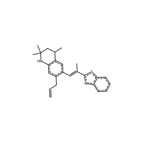 C=CCc1cc2c(cc1/C=C(\C)c1nc3ccccc3s1)C(C)CC(C)(C)N2